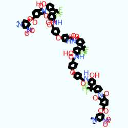 CN(C)c1cc(OC(=O)c2ccc3c(c2)C(=O)N(c2cccc(C(C)(c4ccc(O)c(NC(=O)c5ccc(Oc6ccc(C(=O)Nc7cc(C(C)(c8ccc(O)c(NC(=O)c9ccc(Oc%10ccc(C(=O)Nc%11cc(C(C)(c%12ccc(O)c(N%13C(=O)c%14ccc(C(=O)Oc%15cc(N(C)C)cc([N+](=O)[O-])c%15)cc%14C%13=O)c%12)C(F)(F)F)ccc%11O)cc%10)cc9)c8)C(F)(F)F)ccc7O)cc6)cc5)c4)C(F)(F)F)c2)C3=O)cc([N+](=O)[O-])c1